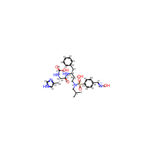 CC(C)CN(C[C@@H](O)[C@H](Cc1ccccc1)NC(=O)[C@H](Cc1c[nH]cn1)NC(=O)O)S(=O)(=O)c1ccc(/C=N/O)cc1